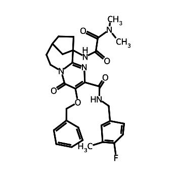 Cc1cc(CNC(=O)c2nc3n(c(=O)c2OCc2ccccc2)CCC2CCC3(NC(=O)C(=O)N(C)C)C2)ccc1F